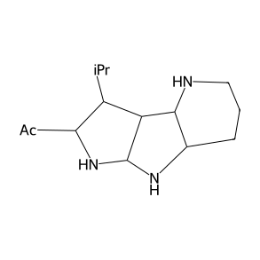 CC(=O)C1NC2NC3CCCNC3C2C1C(C)C